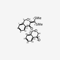 CSC(SC)=C1OCc2ccccc2C1=O.O=C1COCc2ccccc21